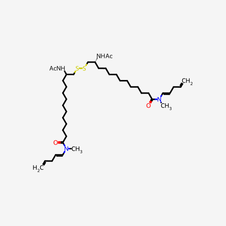 C=CC/C=C/N(C)C(=O)CCCCCCCCCCC(CSSC[C@@H](CCCCCCCCCCC(=O)N(C)/C=C/CC=C)NC(C)=O)NC(C)=O